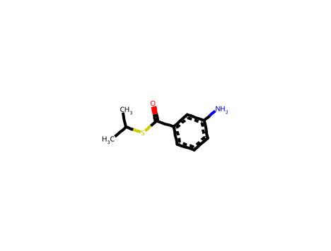 CC(C)SC(=O)c1[c]c(N)ccc1